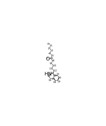 CCCCCCC(=O)CCCCCC1NCCc2ccccc21